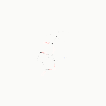 [C-]#[N+]C12OC(=O)C3CC(OC31)C2OC(=O)C(C)(C)CC